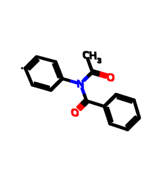 CC(=O)N(C(=O)c1ccccc1)c1cc[c]cc1